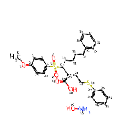 COc1ccc(S(=O)(=O)[C@H](CCCCc2ccccc2)[C@H](CCSc2ccccc2)C(=O)O)cc1.NO